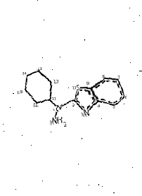 NN(c1nc2ccccc2s1)C1CCCCC1